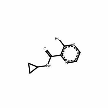 CC(=O)c1nccnc1C(=O)NC1CC1